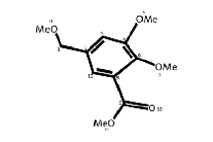 COCc1cc(OC)c(OC)c(C(=O)OC)c1